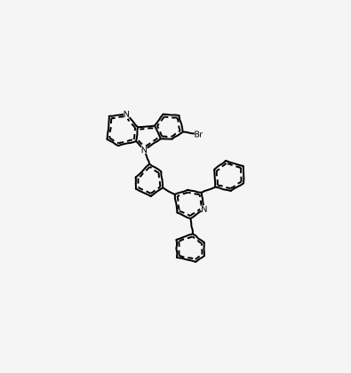 Brc1ccc2c3ncccc3n(-c3cccc(-c4cc(-c5ccccc5)nc(-c5ccccc5)c4)c3)c2c1